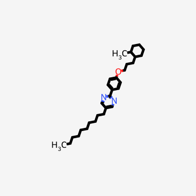 CCCCCCCCCCc1cnc(-c2ccc(OCCCC3CCCCC3C)cc2)nc1